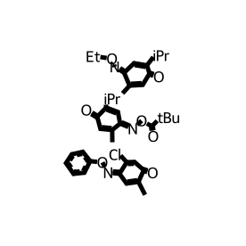 CC1=CC(=NOc2ccccc2)C(Cl)=CC1=O.CC1=CC(=O)C(C(C)C)=CC1=NOC(=O)C(C)(C)C.CCON=C1C=C(C(C)C)C(=O)C=C1C